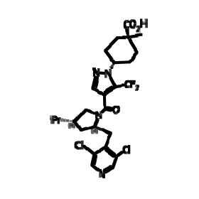 CC(C)[C@H]1C[C@H](Cc2c(Cl)cncc2Cl)N(C(=O)c2cnn([C@H]3CC[C@](C)(C(=O)O)CC3)c2C(F)(F)F)C1